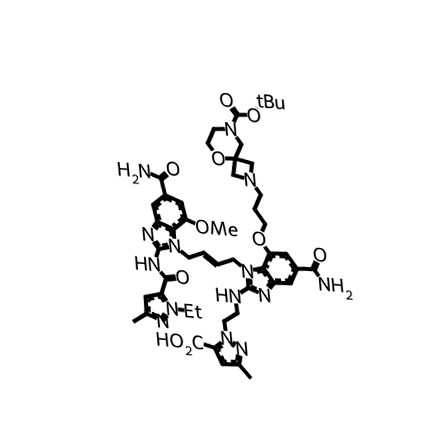 CCn1nc(C)cc1C(=O)Nc1nc2cc(C(N)=O)cc(OC)c2n1C/C=C/Cn1c(NCCn2nc(C)cc2C(=O)O)nc2cc(C(N)=O)cc(OCCCN3CC4(C3)CN(C(=O)OC(C)(C)C)CCO4)c21